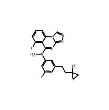 CN(c1cc(F)cc(CCC2(C(F)(F)F)CC2)c1)c1nc2nncn2c2cccc(F)c12